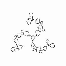 C1=CC2c3ccccc3N(c3ccc4oc5cc6oc7ccc(-c8cc(-c9ccc%10oc%11cc%12oc%13ccc(-n%14c%15ccccc%15c%15ccccc%15%14)cc%13c%12cc%11c%10c9)cc(-c9ccc%10oc%11cc%12oc%13ccc(-n%14c%15ccccc%15c%15ccccc%15%14)cc%13c%12cc%11c%10c9)c8)cc7c6cc5c4c3)C2C=C1